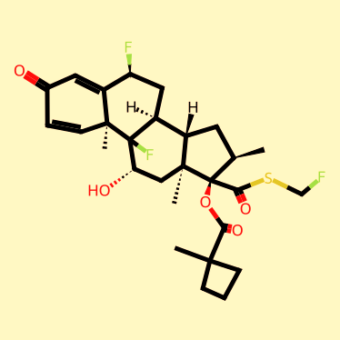 C[C@@H]1C[C@H]2[C@@H]3C[C@H](F)C4=CC(=O)C=C[C@]4(C)C3(F)[C@@H](O)C[C@]2(C)[C@@]1(OC(=O)C1(C)CCC1)C(=O)SCF